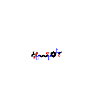 CC(=O)Nc1ccc(NC(=O)CCCCNS(=O)(=O)C(C)C)cc1